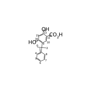 CC(C)(c1ccccc1)c1cc(C(=O)O)c(O)cc1O